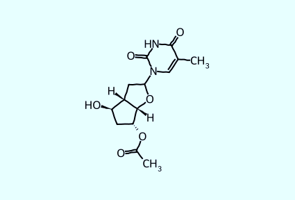 CC(=O)O[C@@H]1C[C@@H](O)[C@@H]2CC(n3cc(C)c(=O)[nH]c3=O)O[C@@H]21